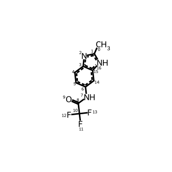 Cc1nc2ccc(NC(=O)C(F)(F)F)cc2[nH]1